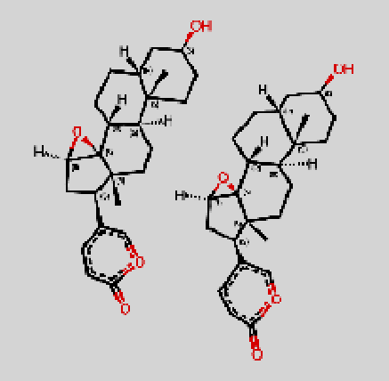 C[C@]12CC[C@H](O)C[C@H]1CC[C@@H]1[C@@H]2CC[C@]2(C)[C@@H](c3ccc(=O)oc3)C[C@H]3O[C@]132.C[C@]12CC[C@H](O)C[C@H]1CC[C@@H]1[C@@H]2CC[C@]2(C)[C@@H](c3ccc(=O)oc3)C[C@H]3O[C@]132